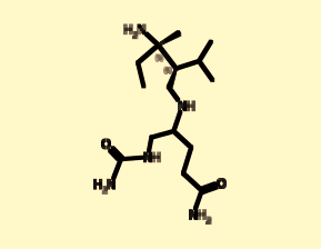 CC[C@](C)(N)[C@H](CNC(CCC(N)=O)CNC(N)=O)C(C)C